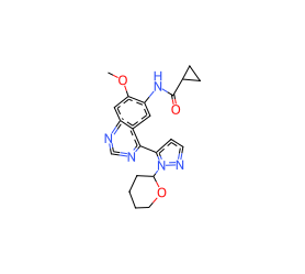 COc1cc2ncnc(-c3ccnn3C3CCCCO3)c2cc1NC(=O)C1CC1